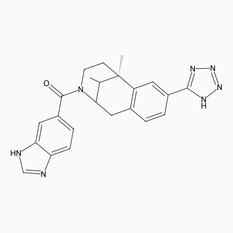 CC1C2Cc3ccc(-c4nnn[nH]4)cc3[C@]1(C)CCN2C(=O)c1ccc2nc[nH]c2c1